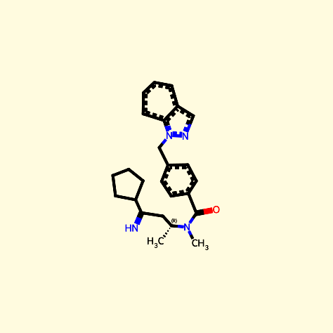 C[C@H](CC(=N)C1CCCC1)N(C)C(=O)c1ccc(Cn2ncc3ccccc32)cc1